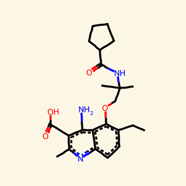 CCc1ccc2nc(C)c(C(=O)O)c(N)c2c1OCC(C)(C)NC(=O)C1CCCC1